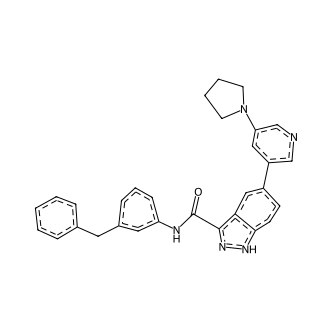 O=C(Nc1cccc(Cc2ccccc2)c1)c1n[nH]c2ccc(-c3cncc(N4CCCC4)c3)cc12